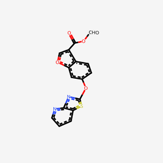 O=COC(=O)c1coc2cc(Oc3nc4ncccc4s3)ccc12